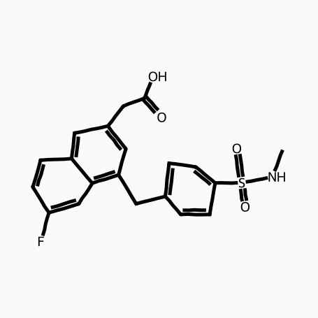 CNS(=O)(=O)c1ccc(Cc2cc(CC(=O)O)cc3ccc(F)cc23)cc1